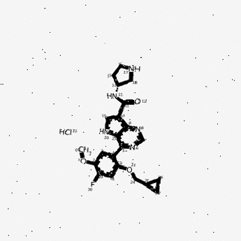 COc1cc(-c2ncnc3c(C(=O)N[C@@H]4CCNC4)c[nH]c23)c(OCC2CC2)cc1F.Cl